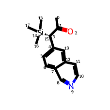 CC(=O)[C@H](c1ccc2cnccc2c1)[Si](C)(C)C